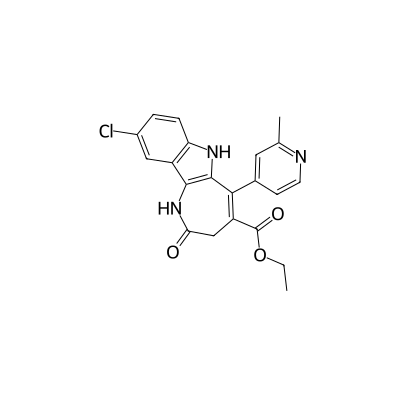 CCOC(=O)C1=C(c2ccnc(C)c2)c2[nH]c3ccc(Cl)cc3c2NC(=O)C1